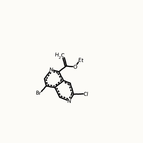 C=C(OCC)c1ncc(Br)c2cnc(Cl)cc12